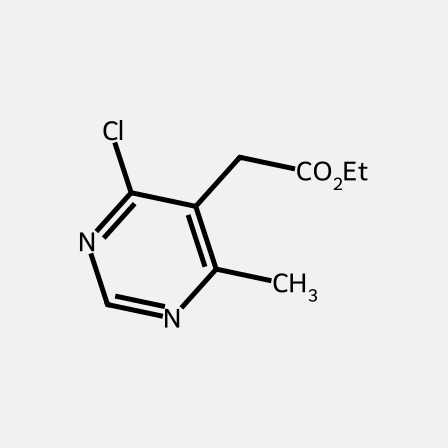 CCOC(=O)Cc1c(C)ncnc1Cl